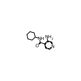 Nc1cnccc1C(=O)NC1CCCCC1